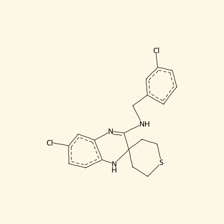 Clc1cccc(CNC2=Nc3cc(Cl)ccc3NC23CCSCC3)c1